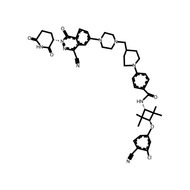 CC1(C)[C@H](NC(=O)c2ccc(N3CCC(CN4CCN(c5ccc6c(=O)n([C@H]7CCC(=O)NC7=O)nc(C#N)c6c5)CC4)CC3)cc2)C(C)(C)[C@H]1Oc1ccc(C#N)c(Cl)c1